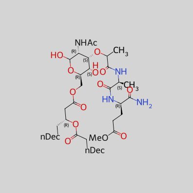 CCCCCCCCCCCC(=O)O[C@H](CCCCCCCCCCC)CC(=O)OC[C@H]1OC(O)[C@H](NC(C)=O)[C@H](OC(C)C(=O)N[C@@H](C)C(=O)N[C@H](CCC(=O)OC)C(N)=O)[C@@H]1O